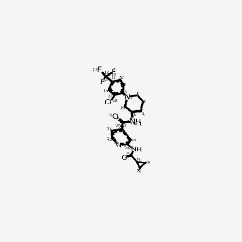 O=C(NC1CCCN(c2ccc(C(F)(F)F)cc2Cl)C1)c1ccnc(NC(=O)C2CC2)c1